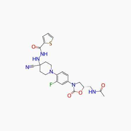 CC(=O)NC[C@H]1CN(c2ccc(N3CCC(C#N)(NNC(=O)c4cccs4)CC3)c(F)c2)C(=O)O1